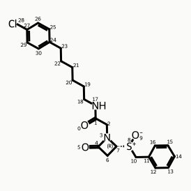 O=C(CN1C(=O)C[C@H]1[S+]([O-])Cc1ccccc1)NCCCCCCc1ccc(Cl)cc1